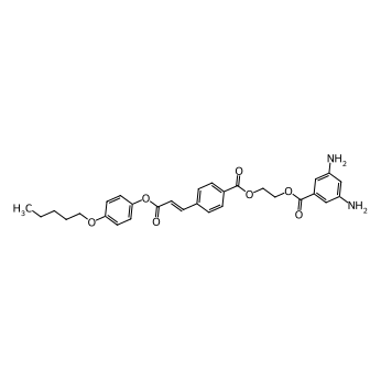 CCCCCOc1ccc(OC(=O)C=Cc2ccc(C(=O)OCCOC(=O)c3cc(N)cc(N)c3)cc2)cc1